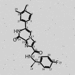 Cc1ccc(-c2cn3cc(C(=O)N[C@H](C)c4ccc(F)cc4)nc3c(=O)[nH]2)cc1C